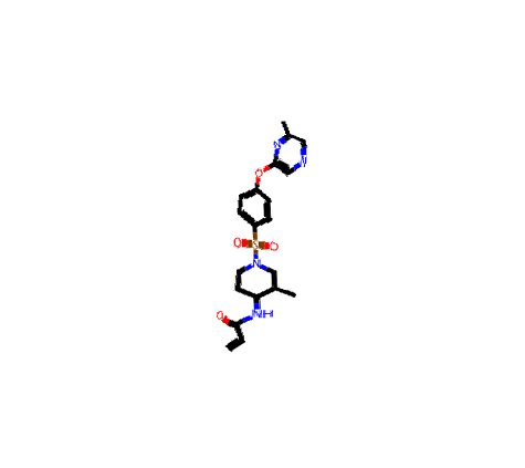 C=CC(=O)NC1CCN(S(=O)(=O)c2ccc(Oc3cncc(C)n3)cc2)CC1C